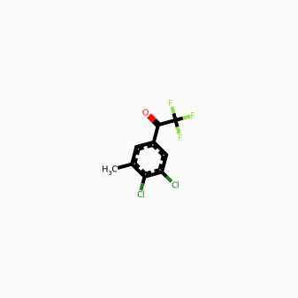 Cc1cc(C(=O)C(F)(F)F)cc(Cl)c1Cl